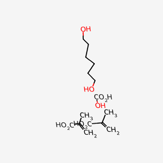 C=C(C)C(=O)O.C=C(C)C(=O)O.O=C(O)O.OCCCCCCO